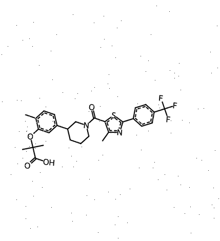 Cc1ccc(C2CCCN(C(=O)c3sc(-c4ccc(C(F)(F)F)cc4)nc3C)C2)cc1OC(C)(C)C(=O)O